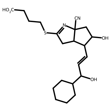 N#CC12CC(O)C(C=CC(O)C3CCCCC3)C1CC(SCCCC(=O)O)=N2